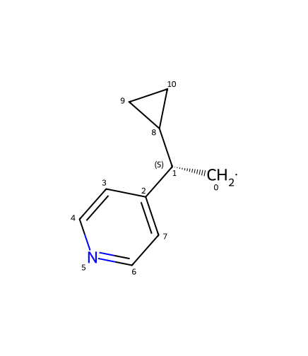 [CH2][C@H](c1ccncc1)C1CC1